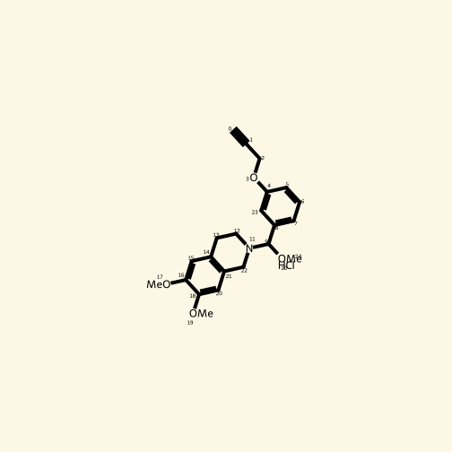 C#CCOc1cccc(C(OC)N2CCc3cc(OC)c(OC)cc3C2)c1.Cl